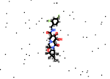 C[C@@H]1[C@@H]2C3C[C@@H](O[C@H]4Cn5cc(C(=O)NCc6ccc(F)cc6F)c(=O)c(O)c5C(=O)N34)[C@H]12